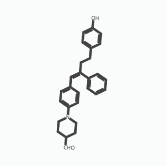 O=CC1CCN(c2ccc(C=C(CCc3ccc(O)cc3)c3ccccc3)cc2)CC1